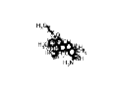 CCCCOC(=O)[C@]12CCC(C)(C)C[C@H]1C1=C(c3cc[nH]c3)CC3[C@@]4(C)Cc5c(n[nH]c5N)C(C)(C)[C@@H]4CC[C@@]3(C)[C@]1(C)CC2